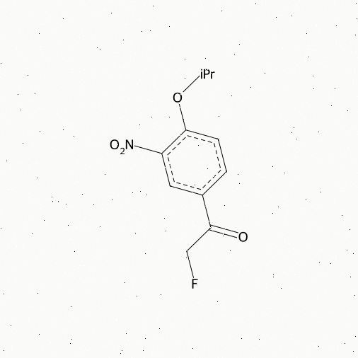 CC(C)Oc1ccc(C(=O)CF)cc1[N+](=O)[O-]